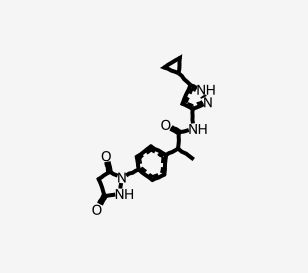 CC(C(=O)Nc1cc(C2CC2)[nH]n1)c1ccc(N2NC(=O)CC2=O)cc1